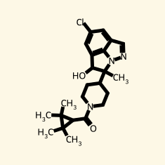 CC1(C2CCN(C(=O)C3C(C)(C)C3(C)C)CC2)C(O)c2cc(Cl)cc3cnn1c23